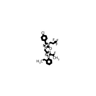 CCc1ccccc1-n1nc(Cn2nc(-c3ccc(Cl)cc3)n(CCC(F)(F)F)c2=O)nc1C(C)F